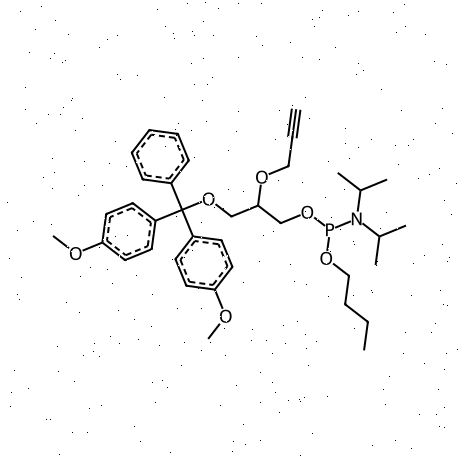 C#CCOC(COP(OCCCC)N(C(C)C)C(C)C)COC(c1ccccc1)(c1ccc(OC)cc1)c1ccc(OC)cc1